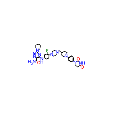 NC(=O)c1nnc(N2CCCCC2)nc1Nc1ccc(N2CCN(CC3CCN(c4ccc(N5CCC(=O)NC5=O)cc4)CC3)CC2)c(F)c1